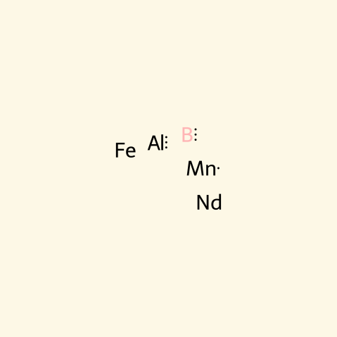 [Al].[B].[Fe].[Mn].[Nd]